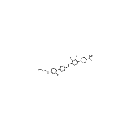 C=CCCOc1ccc(-c2ccc(/C=C/c3ccc(C4CCC(C(C)O)CC4)c(F)c3F)cc2)c(F)c1